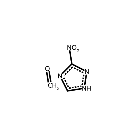 C=O.O=[N+]([O-])c1nc[nH]n1